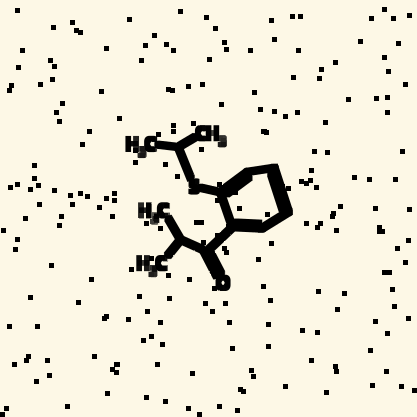 CC(C)Sc1ccccc1C(=O)C(C)C